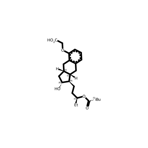 CC[C@@H](CC[C@@H]1[C@H]2Cc3cccc(OCC(=O)O)c3C[C@H]2C[C@H]1O)OC(=O)[C@@H](C)CC